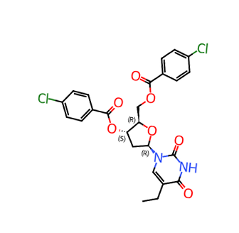 CCc1cn([C@H]2C[C@H](OC(=O)c3ccc(Cl)cc3)[C@@H](COC(=O)c3ccc(Cl)cc3)O2)c(=O)[nH]c1=O